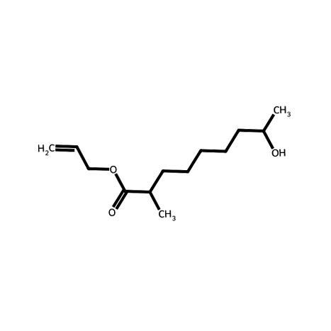 C=CCOC(=O)C(C)CCCCCC(C)O